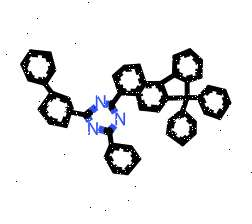 c1ccc(-c2cccc(-c3nc(-c4ccccc4)nc(-c4cccc5c6c(ccc45)C(c4ccccc4)(c4ccccc4)c4ccccc4-6)n3)c2)cc1